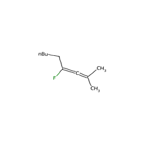 CCCCCC(F)=C=C(C)C